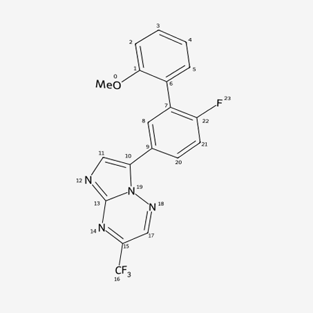 COc1ccccc1-c1cc(-c2cnc3nc(C(F)(F)F)cnn23)ccc1F